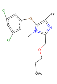 CC(=O)OCCOCc1nc(C(C)C)c(Sc2cc(Cl)cc(Cl)c2)n1C